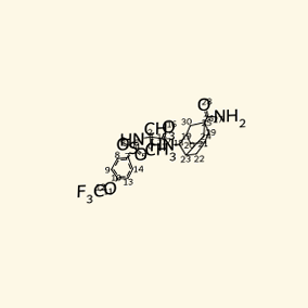 CC(C)(NS(=O)(=O)c1ccc(OC(F)(F)F)cc1)C(=O)NC1C2CC3CC1CC(C(N)=O)(C3)C2